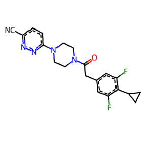 N#Cc1ccc(N2CCN(C(=O)Cc3cc(F)c(C4CC4)c(F)c3)CC2)nn1